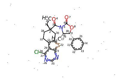 CC[C@]1(C(=O)N2C(=O)O[C@H](c3ccccc3)[C@@H]2C)CCc2c(sc3ncnc(Cl)c23)C1